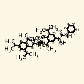 CC(C)c1cc(C(C)C)c(CC(=O)NS(=O)(=O)Oc2c(C(C)C)cc(N(S)C(=O)Nc3ccccc3)cc2C(C)C)c(C(C)C)c1